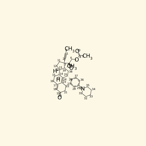 CC#C[C@]1(C(=O)COC(C)=O)CC[C@H]2[C@@H]3CCC4=CC(=O)CCC4=C3[C@@H](c3ccc(N4CCCCC4)cc3)C[C@@]21C